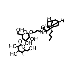 CCCC[C@]1(CC(=O)NCCO[C@H]2OC(CO)[C@H](O[C@@H]3OC(CO)[C@H](C)C(O)[C@H]3O)C(O)[C@H]2O)C2C[C@@H]3C[C@H](C2)C[C@@H]1C3